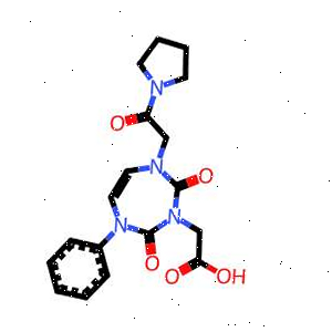 O=C(O)CN1C(=O)N(CC(=O)N2CCCC2)C=CN(c2ccccc2)C1=O